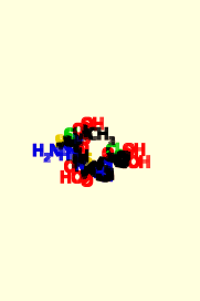 C[C@H](O/N=C(\C(=O)N[C@@H]1C(=O)N2C(C(=O)O)=C(C[N+]3(CCNC(=O)c4ccc(O)c(O)c4Cl)CCCCC3)CS[C@H]12)c1nc(N)sc1Cl)C(=O)O